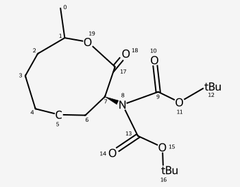 CC1CCCCC[C@H](N(C(=O)OC(C)(C)C)C(=O)OC(C)(C)C)C(=O)O1